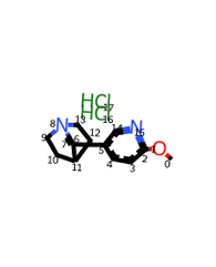 COc1ccc(C2=CN3CCC2CC3)cn1.Cl.Cl